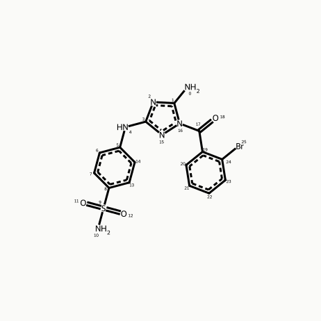 Nc1nc(Nc2ccc(S(N)(=O)=O)cc2)nn1C(=O)c1ccccc1Br